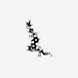 Cc1c(NC(=O)N2CC(OC(C)(C)C)C2)cccc1-c1cc(NC(=O)NCCN)c2nccn2n1